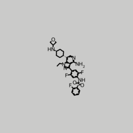 CCn1nc(-c2cc(F)c(NS(=O)(=O)c3ccccc3F)cc2F)c2c(N)ncc([C@H]3CC[C@H](NC4COC4)CC3)c21